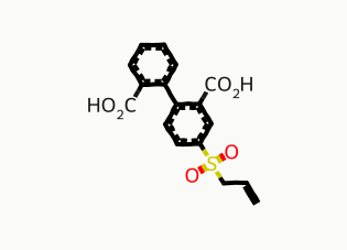 C=CCS(=O)(=O)c1ccc(-c2ccccc2C(=O)O)c(C(=O)O)c1